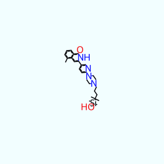 Cc1cccc2c(=O)[nH]c(-c3ccc(N4CCN(CCCC(C)(C)[Si](C)(C)O)CC4)nc3)cc12